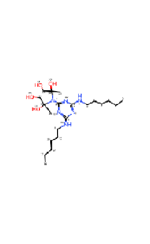 CCCCCCNc1nc(NCCCCCC)nc(N(C(C)(O)CO)C(C)(O)CO)n1